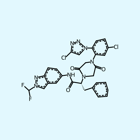 O=C(Nc1ccc2nn(C(F)F)cc2c1)[C@@H](Cc1ccccc1)N1CC(=O)N(c2cc(Cl)ccc2-n2cc(Cl)nn2)CC1=O